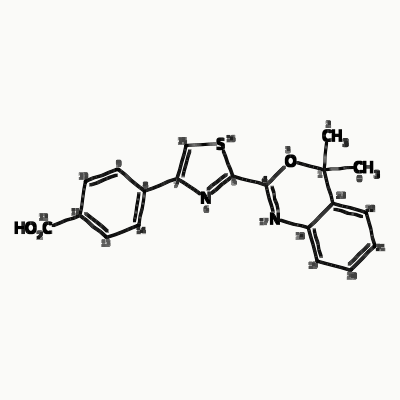 CC1(C)OC(c2nc(-c3ccc(C(=O)O)cc3)cs2)=Nc2ccccc21